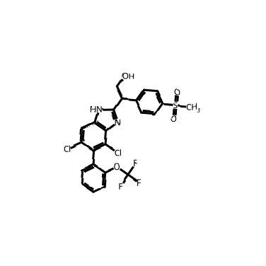 CS(=O)(=O)c1ccc(C(CO)c2nc3c(Cl)c(-c4ccccc4OC(F)(F)F)c(Cl)cc3[nH]2)cc1